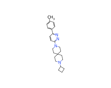 Cc1ccc(-c2ccc(N3CCC4(CC3)CCN(C3CCC3)CC4)nn2)cc1